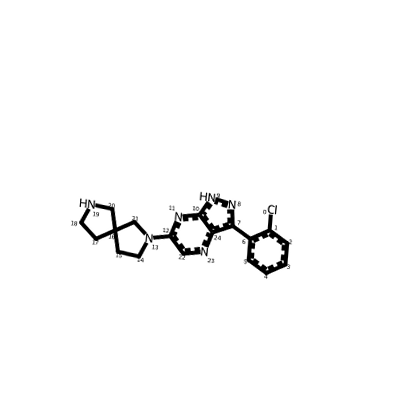 Clc1ccccc1-c1n[nH]c2nc(N3CCC4(CCNC4)C3)cnc12